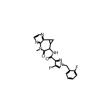 CN1C(=O)C(NC(=O)c2nn(Cc3ccccc3F)cc2F)C2CC2c2nccnc21